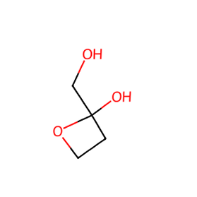 OCC1(O)CCO1